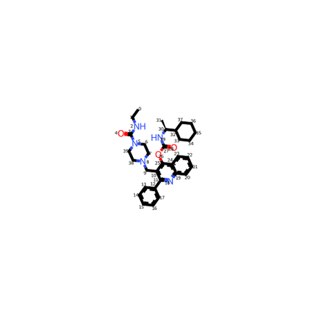 CCNC(=O)N1CCN(Cc2c(-c3ccccc3)nc3ccccc3c2OC(=O)N[C@@H](C)C2CCCCC2)CC1